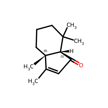 CC1=CC(=O)[C@H]2C(C)(C)CCC[C@@]12C